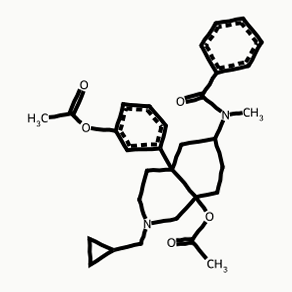 CC(=O)Oc1cccc(C23CCN(CC4CC4)CC2(OC(C)=O)CCC(N(C)C(=O)c2ccccc2)C3)c1